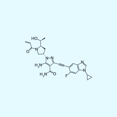 C=CC(=O)N1C[C@@H](n2nc(C#Cc3cc4ncn(C5CC5)c4cc3F)c(C(N)=O)c2N)C[C@@H]1[C@H](C)O